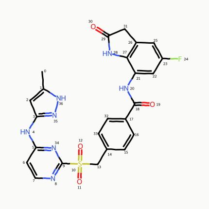 Cc1cc(Nc2ccnc(S(=O)(=O)Cc3ccc(C(=O)Nc4cc(F)cc5c4NC(=O)C5)cc3)n2)n[nH]1